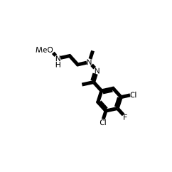 CONCCN(C)/N=C(\C)c1cc(Cl)c(F)c(Cl)c1